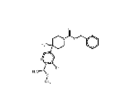 CO[C@@H](C)c1ncc(C2(C)CCN(C(=O)OCc3ccccc3)CC2)cc1Br